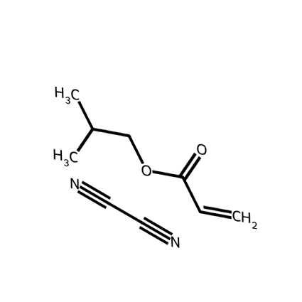 C=CC(=O)OCC(C)C.N#CC#N